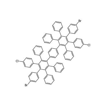 Clc1ccc(-c2c(-c3ccccc3)c(-c3ccc(-c4c(-c5ccccc5)c(-c5ccccc5)c(-c5ccc(Br)cc5)c(-c5ccc(Cl)cc5)c4-c4ccccc4)cc3)c(-c3ccccc3)c(-c3ccccc3)c2-c2ccc(Br)cc2)cc1